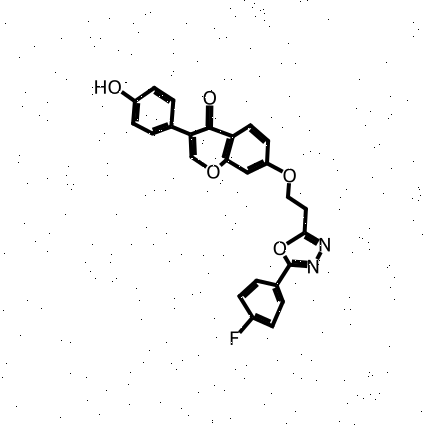 O=c1c(-c2ccc(O)cc2)coc2cc(OCCc3nnc(-c4ccc(F)cc4)o3)ccc12